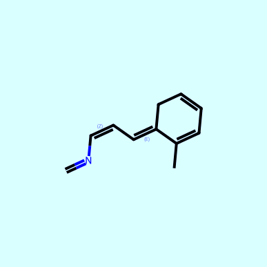 C=N/C=C\C=C1/CC=CC=C1C